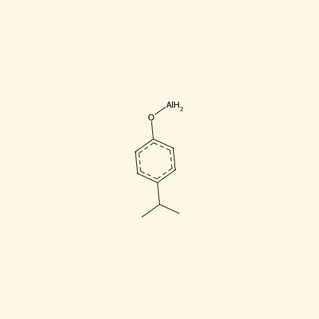 CC(C)c1ccc([O][AlH2])cc1